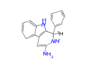 [2H]C1(c2ccccc2)NC(N)=Cc2c1[nH]c1ccccc21